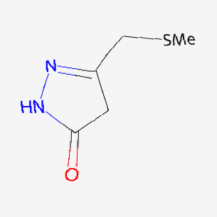 CSCC1=NNC(=O)C1